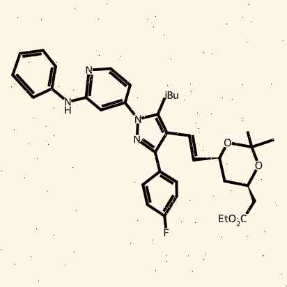 CCOC(=O)C[C@H]1C[C@@H](/C=C/c2c(-c3ccc(F)cc3)nn(-c3ccnc(Nc4ccccc4)c3)c2C(C)CC)OC(C)(C)O1